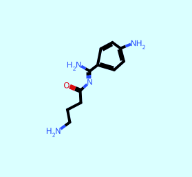 NCCCC(=O)N=C(N)c1ccc(N)cc1